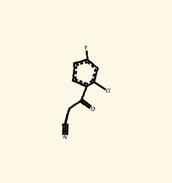 N#CCC(=O)c1ccc(F)cc1Cl